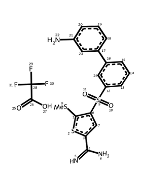 CSc1sc(C(=N)N)cc1S(=O)(=O)c1cccc(-c2cccc(N)c2)c1.O=C(O)C(F)(F)F